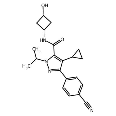 CC(C)n1nc(-c2ccc(C#N)cc2)c(C2CC2)c1C(=O)N[C@H]1C[C@@H](O)C1